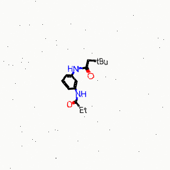 CCC(=O)Nc1cccc(NC(=O)CC(C)(C)C)c1